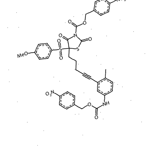 COc1ccc(S(=O)(=O)C2(CCCC#Cc3cc(NC(=O)OCc4ccc([N+](=O)[O-])cc4)ccc3C)SC(=O)N(C(=O)OCc3ccc([N+](=O)[O-])cc3)C2=O)cc1